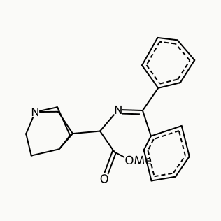 COC(=O)C(N=C(c1ccccc1)c1ccccc1)C1CN2CCC1CC2